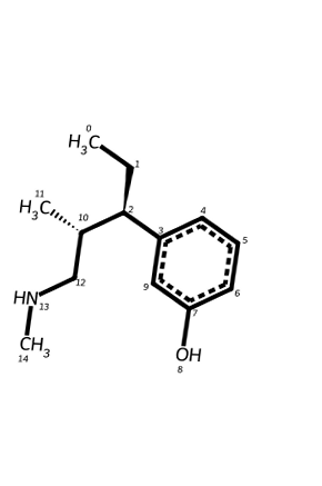 CC[C@@H](c1cccc(O)c1)[C@@H](C)CNC